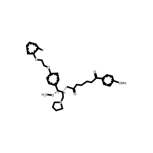 COc1ccc(C(=O)CCCCC(=O)C[C@H](CN2CCCC2)[C@H](ON)c2ccc(OCCOc3ccccc3F)cc2)cc1